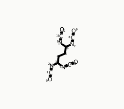 O=C=NC(CCC(N=C=O)N=C=O)N=C=O